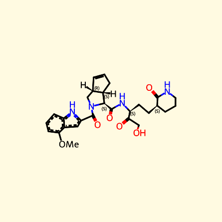 COc1cccc2[nH]c(C(=O)N3C[C@@H]4C=CC[C@@H]4[C@H]3C(=O)N[C@@H](CC[C@@H]3CCCNC3=O)C(=O)CO)cc12